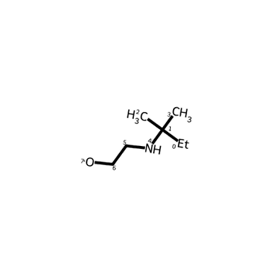 CCC(C)(C)NCC[O]